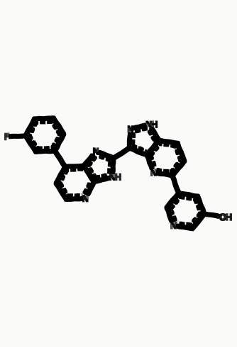 Oc1cncc(-c2ccc3[nH]nc(-c4nc5c(-c6cccc(F)c6)ccnc5[nH]4)c3n2)c1